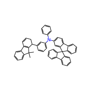 CC1(C)C2=C(C=CCC2c2cccc(N(c3ccccc3)c3ccc4c(c3)C3(c5ccccc5-c5ccccc53)c3ccccc3-4)c2)c2ccccc21